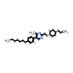 CCCCCCCc1ccc(-c2cnc(CC[C@H]3CC[C@H](CCC)CC3)nc2C)cc1